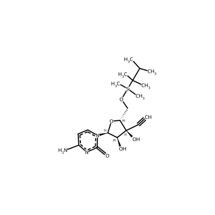 C#C[C@@]1(O)[C@@H](CO[Si](C)(C)C(C)(C)C(C)C)O[C@H](n2ccc(N)nc2=O)[C@@H]1O